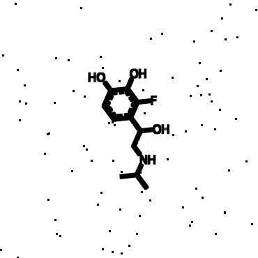 CC(C)NCC(O)c1ccc(O)c(O)c1F